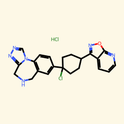 Cl.ClC1(c2ccc3c(c2)CNCc2nncn2-3)CCC(c2noc3ncccc23)CC1